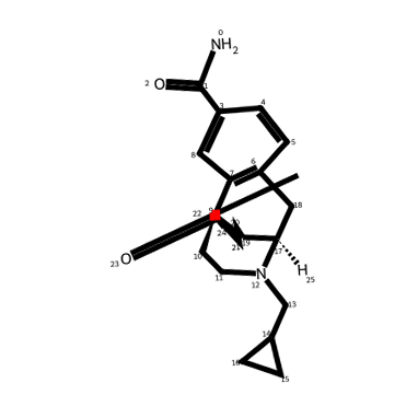 NC(=O)c1ccc2c(c1)[C@]13CCN(CC4CC4)[C@H](C2)C1CCC(=O)C3